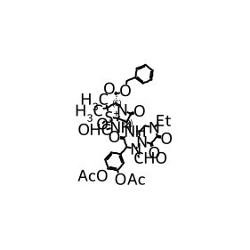 CCN1CCN(N(C=O)C(C(=O)N[C@@H]2C(=O)N3[C@@H](C(=O)OCc4ccccc4)C(C)(C)[S+]([O-])C23NC=O)c2ccc(OC(C)=O)c(OC(C)=O)c2)C(=O)C1=O